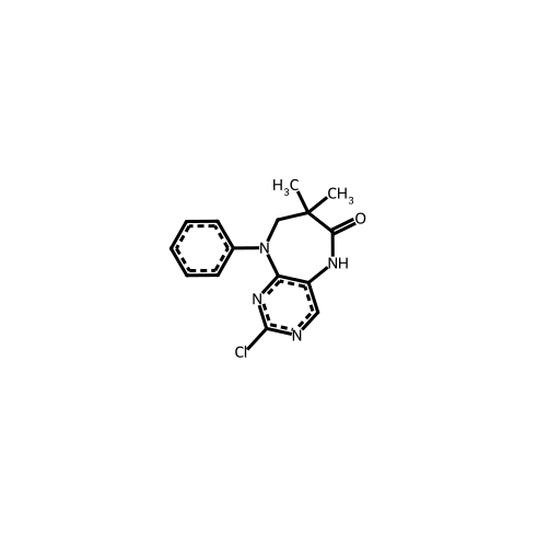 CC1(C)CN(c2ccccc2)c2nc(Cl)ncc2NC1=O